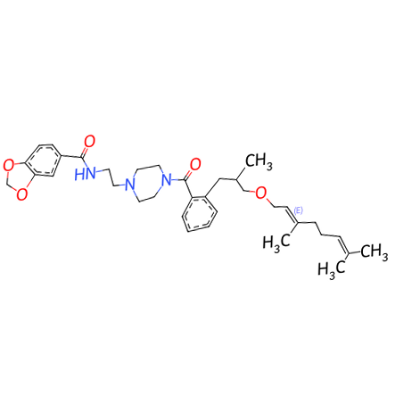 CC(C)=CCC/C(C)=C/COCC(C)Cc1ccccc1C(=O)N1CCN(CCNC(=O)c2ccc3c(c2)OCO3)CC1